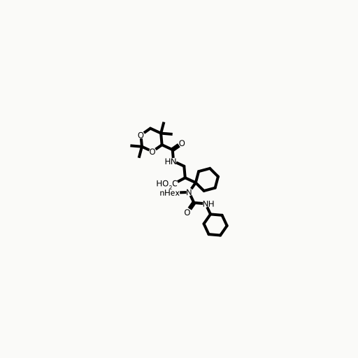 CCCCCCN(C(=O)NC1CCCCC1)C1(C(CNC(=O)C2OC(C)(C)OCC2(C)C)C(=O)O)CCCCC1